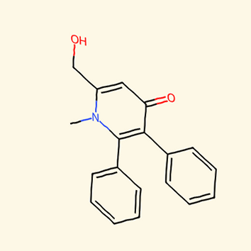 Cn1c(CO)cc(=O)c(-c2ccccc2)c1-c1ccccc1